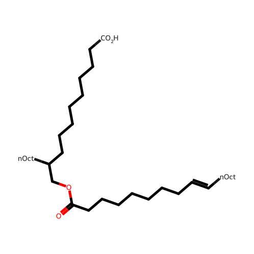 CCCCCCCCC=CCCCCCCCC(=O)OCC(CCCCCCCC)CCCCCCCCC(=O)O